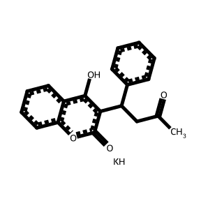 CC(=O)CC(c1ccccc1)c1c(O)c2ccccc2oc1=O.[KH]